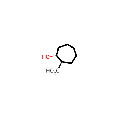 O=C(O)[C@@H]1CCCCC[C@H]1O